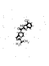 CN(C)c1ncc2n1CCN(C(=O)c1nc3cccc(Cl)c3[nH]1)C2